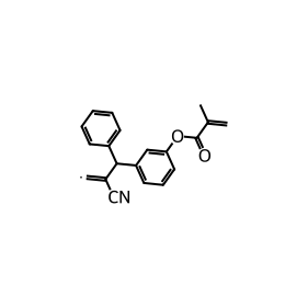 [CH]=C(C#N)C(c1ccccc1)c1cccc(OC(=O)C(=C)C)c1